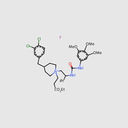 CCOC(=O)CC[N+]1(CC(NC(=O)Nc2cc(OC)c(OC)c(OC)c2)C(C)C)CCC(Cc2ccc(Cl)c(Cl)c2)CC1.[I-]